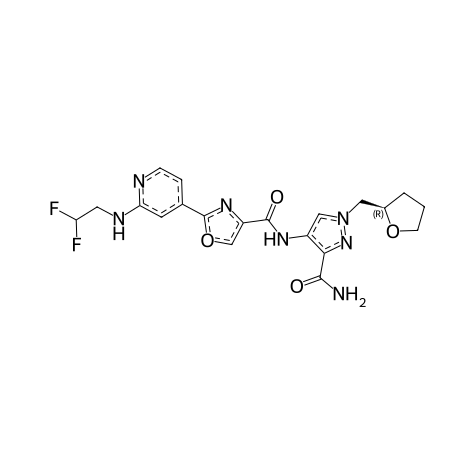 NC(=O)c1nn(C[C@H]2CCCO2)cc1NC(=O)c1coc(-c2ccnc(NCC(F)F)c2)n1